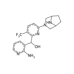 Nc1ncccc1C(O)c1nc(N2CC3CCC(C2)N3)ccc1C(F)(F)F